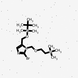 CC(C)(C)[Si](C)(C)OCc1cnc(Br)n1COCC[Si](C)(C)C